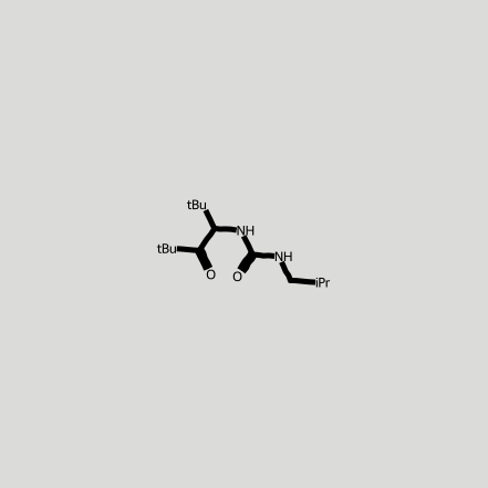 CC(C)CNC(=O)NC(C(=O)C(C)(C)C)C(C)(C)C